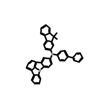 CC1(C)c2ccccc2-c2ccc(N(c3ccc(-c4ccccc4)cc3)c3ccc4c(c3)c3cccc5c6ccccc6n4c53)cc21